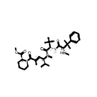 CN[C@H](C(=O)N[C@H](C(=O)N(C)[C@H](/C=C(\C)C(=O)N1CCCC[C@H]1C(=O)OC)C(C)C)C(C)(C)C)C(C)(C)c1ccccc1